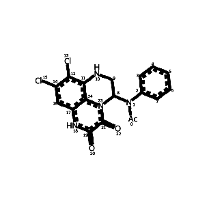 CC(=O)N(c1ccccc1)C1CNc2c(Cl)c(Cl)cc3[nH]c(=O)c(=O)n1c23